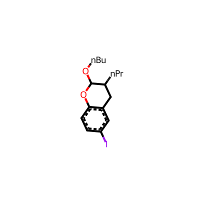 CCCCOC1Oc2ccc(I)cc2CC1CCC